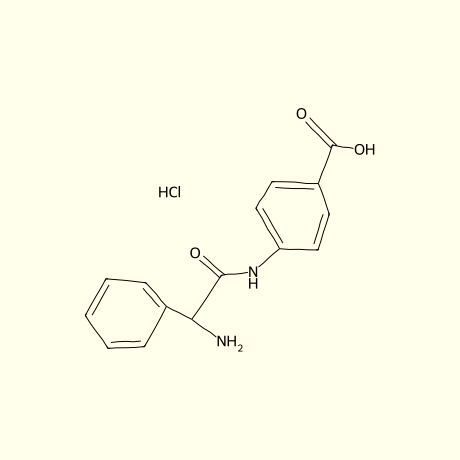 Cl.NC(C(=O)Nc1ccc(C(=O)O)cc1)c1ccccc1